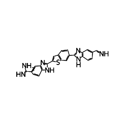 N=Cc1ccc2[nH]c(-c3ccc4cc(-c5nc6cc(C(=N)N)ccc6[nH]5)sc4c3)nc2c1